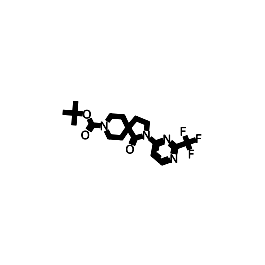 CC(C)(C)OC(=O)N1CCC2(CC1)CCN(c1ccnc(C(F)(F)F)n1)C2=O